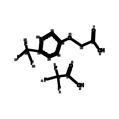 O=C(O)C(F)(F)F.O=C(O)COc1ccc(C(F)(F)F)nc1